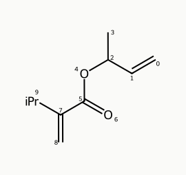 C=CC(C)OC(=O)C(=C)C(C)C